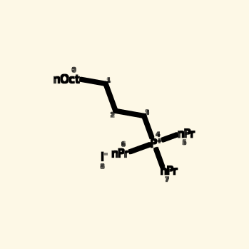 CCCCCCCCCCC[P+](CCC)(CCC)CCC.[I-]